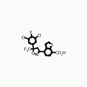 O=C(O)c1ccc(C2=NOC(c3cc(Cl)c(F)c(Cl)c3)(C(F)(F)F)C2)c2ccsc12